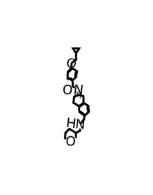 CN(C(=O)c1ccc(OCC2CC2)cc1)[C@H]1CCc2cc(CNCC3CCCOC3)ccc2C1